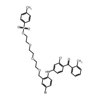 Cc1ccc(S(=O)(=O)OCCOCCOCCOCc2cc(Br)ccc2Nc2ccc(C(=O)c3ccccc3C)c(Cl)c2)cc1